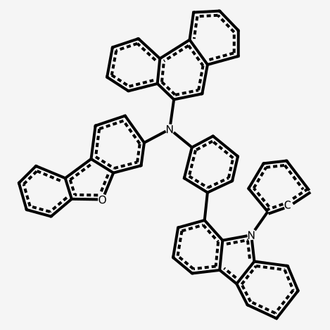 c1ccc(-n2c3ccccc3c3cccc(-c4cccc(N(c5ccc6c(c5)oc5ccccc56)c5cc6ccccc6c6ccccc56)c4)c32)cc1